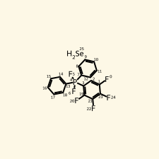 Fc1cc(P(F)(F)(c2ccccc2)c2ccccc2)c(F)c(F)c1F.[SeH2]